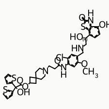 COc1cc(NC(=O)CCN2CCC3(CC2)CC(OC(=O)C(O)(c2cccs2)c2cccs2)C3)c(Cl)cc1CNC[C@H](O)c1ccc(O)c2[nH]c(=O)sc12